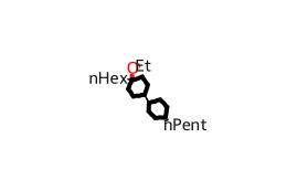 CCCCCC[C@]1(OCC)CC[C@@H](C2CCC(CCCCC)CC2)CC1